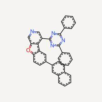 c1ccc(-c2nc(-c3ccccc3)nc(-c3cncc4oc5ccc(-c6ccc7ccccc7c6)cc5c34)n2)cc1